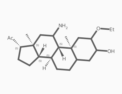 CCOC1C[C@@]2(C)C(CC[C@H]3[C@@H]4CC[C@H](C(C)=O)[C@@]4(C)CC(N)[C@@H]32)CC1O